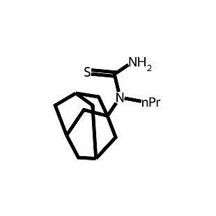 CCCN(C(N)=S)C12CC3CC(CC(C3)C1)C2